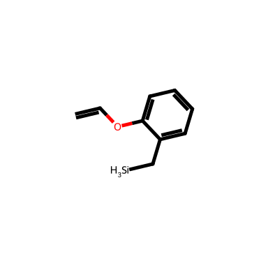 C=COc1ccccc1C[SiH3]